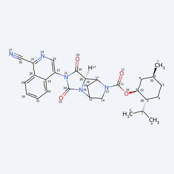 CC(C)[C@H]1CC[C@H](C)C[C@@H]1OC(=O)N1CC2CC1[C@@H]1C(=O)N(c3cnc(C#N)c4ccccc34)C(=O)N21